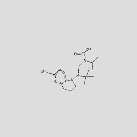 CC(C)N(CC(N1CCCc2cc(Br)ccc21)C(C)(C)C)C(=O)O